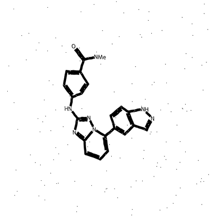 CNC(=O)c1ccc(Nc2nc3cccc(-c4ccc5[nH]ncc5c4)n3n2)cc1